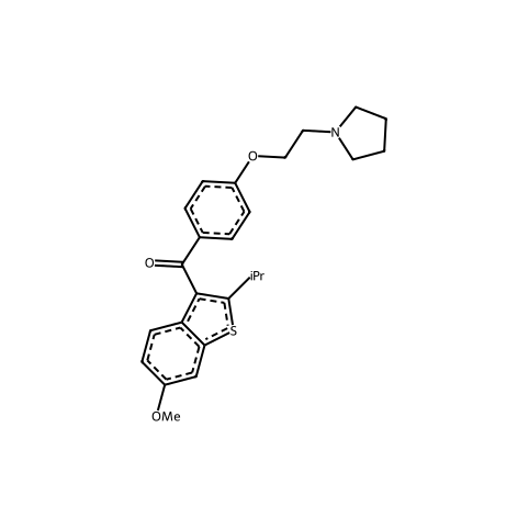 COc1ccc2c(C(=O)c3ccc(OCCN4CCCC4)cc3)c(C(C)C)sc2c1